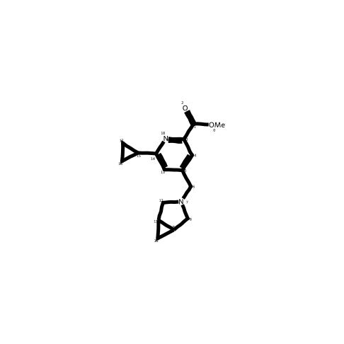 COC(=O)c1cc(CN2CC3CC3C2)cc(C2CC2)n1